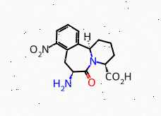 N[C@H]1Cc2c(cccc2[N+](=O)[O-])[C@H]2CCC[C@@H](C(=O)O)N2C1=O